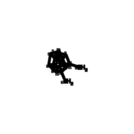 B[C]12[CH]3[CH]4[CH]5[C]1(B)[Fe]43521678[CH]2[CH]1[CH]6[CH]7[CH]28